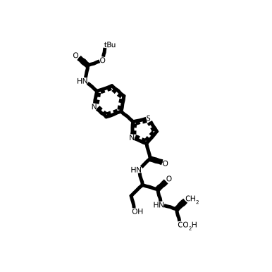 C=C(NC(=O)C(CO)NC(=O)c1csc(-c2ccc(NC(=O)OC(C)(C)C)nc2)n1)C(=O)O